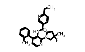 CCc1ccc(C(=O)Nc2c(-c3ccccc3C)ccnc2N2CCC(C)(F)C2)cn1